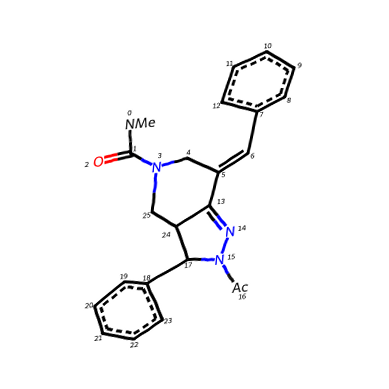 CNC(=O)N1CC(=Cc2ccccc2)C2=NN(C(C)=O)C(c3ccccc3)C2C1